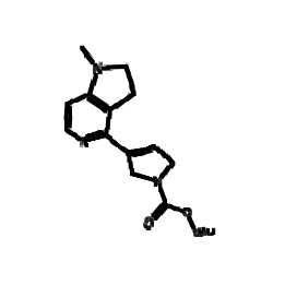 CN1CCc2c1ccnc2C1=CCN(C(=O)OC(C)(C)C)C1